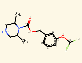 CC1CNCC(C)N1C(=O)OCc1cccc(OC(F)F)c1